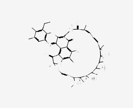 CCc1c(C)c(C)cc2nc3c4c5c6c(C)c(O)c4c(=O)c(c-3oc12)NC(=O)/C(C)=C\C=C\[C@H](C)[C@H](O)[C@@H](C)[C@@H](O)[C@@H](C)[C@H](O)[C@H](C)[C@@H](OC)/C=C/O[C@@](C)(O6)C5=O